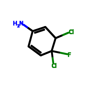 NC1=CC(Cl)C(F)(Cl)C=C1